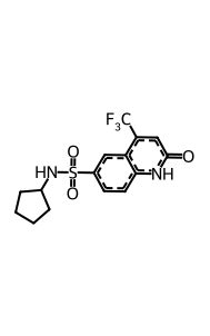 O=c1cc(C(F)(F)F)c2cc(S(=O)(=O)NC3CCCC3)ccc2[nH]1